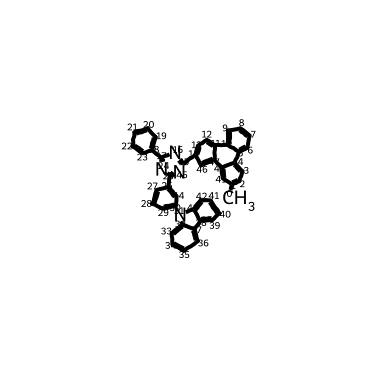 Cc1ccc2c3ccccc3c3ccc(-c4nc(-c5ccccc5)nc(-c5cccc(-n6c7ccccc7c7ccccc76)c5)n4)cc3c2c1